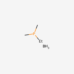 B.CCP(C)C